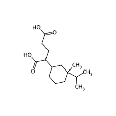 CC(C)C1(C)CCCC(C(CCC(=O)O)C(=O)O)C1